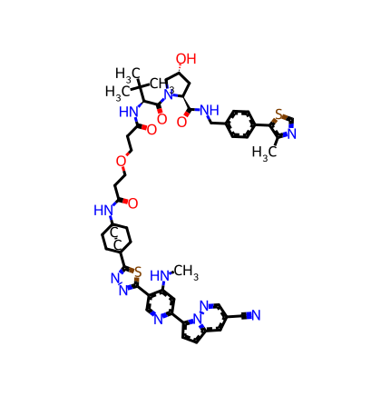 CNc1cc(-c2ccc3cc(C#N)cnn23)ncc1-c1nnc(C23CCC(NC(=O)CCOCCC(=O)N[C@H](C(=O)N4C[C@H](O)C[C@H]4C(=O)NCc4ccc(-c5scnc5C)cc4)C(C)(C)C)(CC2)CC3)s1